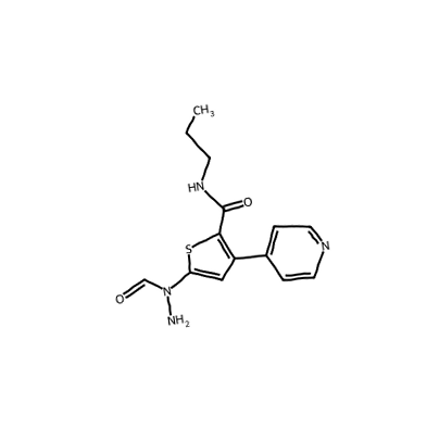 CCCNC(=O)c1sc(N(N)C=O)cc1-c1ccncc1